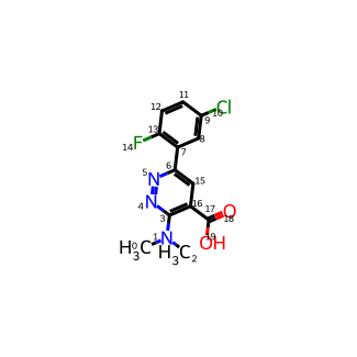 CN(C)c1nnc(-c2cc(Cl)ccc2F)cc1C(=O)O